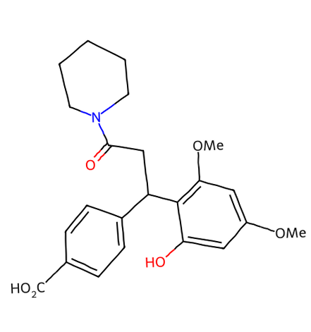 COc1cc(O)c(C(CC(=O)N2CCCCC2)c2ccc(C(=O)O)cc2)c(OC)c1